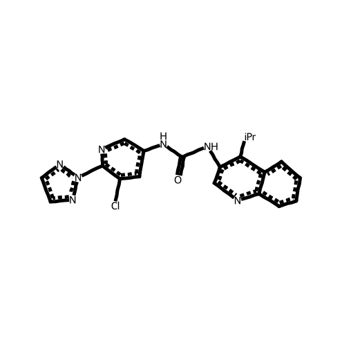 CC(C)c1c(NC(=O)Nc2cnc(-n3nccn3)c(Cl)c2)cnc2ccccc12